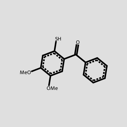 COc1cc(S)c(C(=O)c2ccccc2)cc1OC